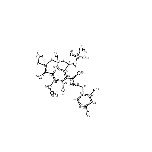 CCN1C[C@H]2CC(OS(C)(=O)=O)c3c(C(=O)NCc4ccc(F)cc4F)c(=O)c(OC)c(n32)C1=O